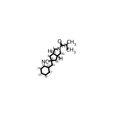 CN(C)C(=O)N1C[C@@H]2C[C@@](C#N)(CC3CCCCC3)C[C@@H]2C1